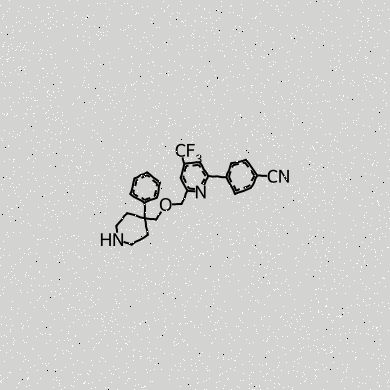 N#Cc1ccc(-c2cc(C(F)(F)F)cc(COCC3(c4ccccc4)CCNCC3)n2)cc1